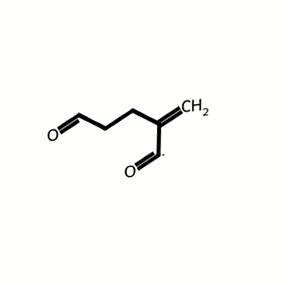 C=C([C]=O)CCC=O